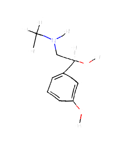 [2H]Oc1cccc([C@@]([2H])(CN([2H])C([2H])([2H])[2H])O[2H])c1